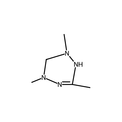 CC1=NN(C)CN(C)N1